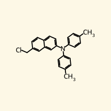 Cc1ccc(N(c2ccc(C)cc2)c2ccc3ccc(CCl)cc3c2)cc1